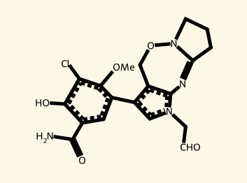 COc1c(-c2cn(CC=O)c3c2CON2CCCC2=N3)cc(C(N)=O)c(O)c1Cl